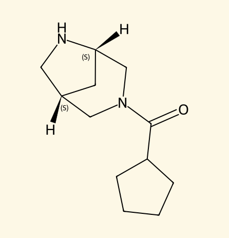 O=C(C1CCCC1)N1C[C@@H]2CN[C@@H](C2)C1